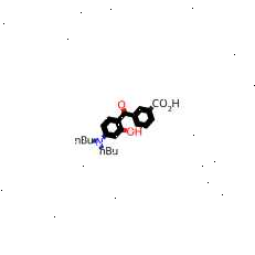 CCCCN(CCCC)c1ccc(C(=O)c2cccc(C(=O)O)c2)c(O)c1